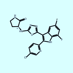 O=C1NCC[C@@H]1Nc1nnc(-c2c(-c3ccc(Cl)cn3)[nH]c3c(F)cc(F)cc23)o1